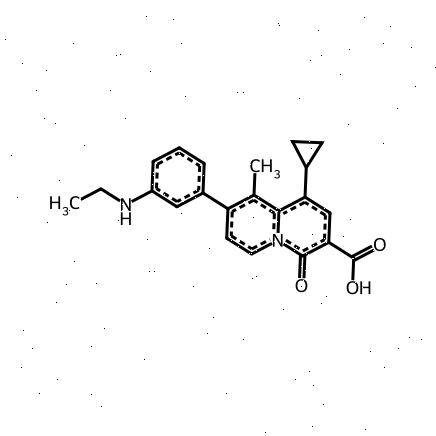 CCNc1cccc(-c2ccn3c(=O)c(C(=O)O)cc(C4CC4)c3c2C)c1